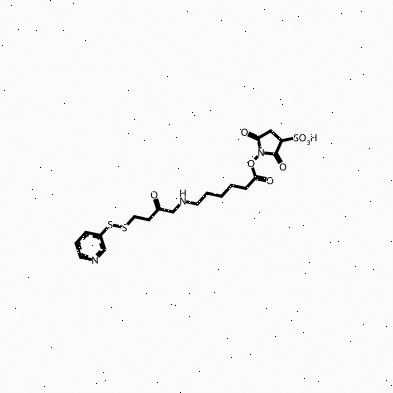 O=C(CCSSc1cccnc1)CNCCCCCC(=O)ON1C(=O)CC(S(=O)(=O)O)C1=O